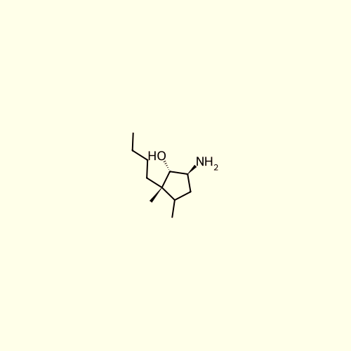 CCCC[C@@]1(C)C(C)C[C@H](N)[C@H]1O